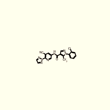 N#Cc1cc(NC(=O)c2cnn(-c3ccccc3Cl)c2C(F)(F)F)cnc1-n1nccn1